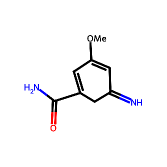 COC1=CC(=N)CC(C(N)=O)=C1